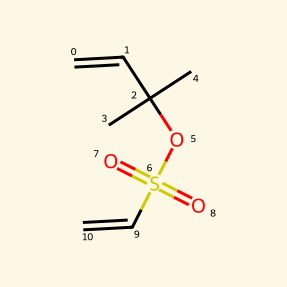 C=CC(C)(C)OS(=O)(=O)C=C